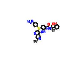 CCC(CO)(NC(=O)c1ccc(Sc2ccc(N)cc2)c(Nc2ccnc3cc(C(C)C)ncc23)c1)c1ccccc1